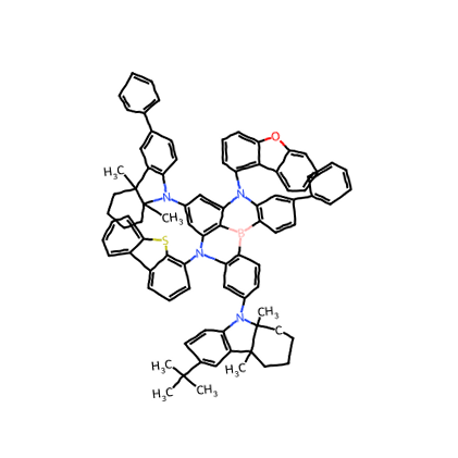 CC(C)(C)c1ccc2c(c1)C1(C)CCCCC1(C)N2c1ccc2c(c1)N(c1cccc3c1sc1ccccc13)c1cc(N3c4ccc(-c5ccccc5)cc4C4(C)CCCCC34C)cc3c1B2c1ccc(-c2ccccc2)cc1N3c1cccc2oc3ccccc3c12